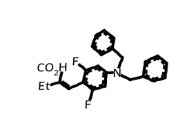 CCC(=Cc1c(F)cc(N(Cc2ccccc2)Cc2ccccc2)cc1F)C(=O)O